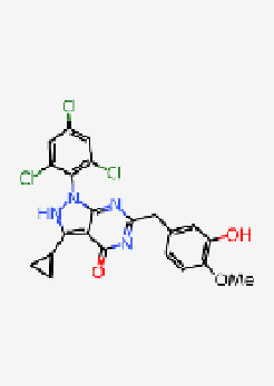 COc1ccc(Cc2nc3n(-c4c(Cl)cc(Cl)cc4Cl)[nH]c(C4CC4)c-3c(=O)n2)cc1O